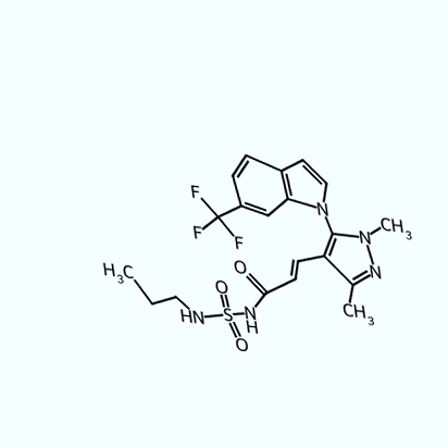 CCCNS(=O)(=O)NC(=O)/C=C/c1c(C)nn(C)c1-n1ccc2ccc(C(F)(F)F)cc21